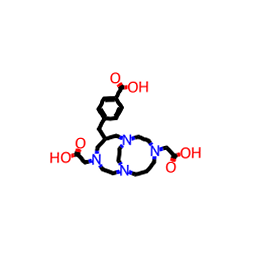 O=C(O)CN1CCCN2CCN(CC1)CC(Cc1ccc(C(=O)O)cc1)CN(CC(=O)O)CC2